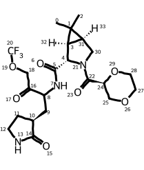 CC1(C)[C@@H]2[C@@H](C(=O)NC(C[C@@H]3CCNC3=O)C(=O)COC(F)(F)F)N(C(=O)[C@@H]3COCCO3)C[C@@H]21